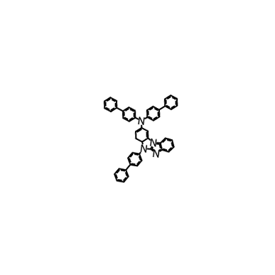 C1=C(N(c2ccc(-c3ccccc3)cc2)c2ccc(-c3ccccc3)cc2)C=C2C(C1)N(c1ccc(-c3ccccc3)cc1)c1nc3ccccc3n12